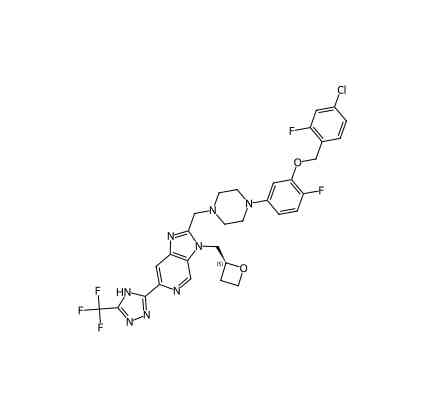 Fc1cc(Cl)ccc1COc1cc(N2CCN(Cc3nc4cc(-c5nnc(C(F)(F)F)[nH]5)ncc4n3C[C@@H]3CCO3)CC2)ccc1F